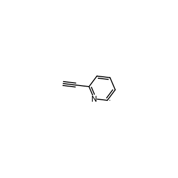 C#Cc1ccc[c]n1